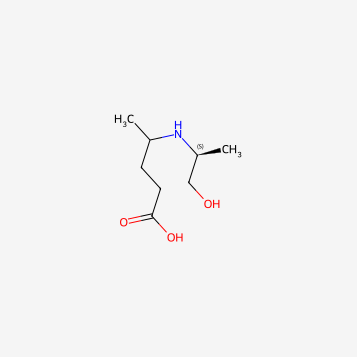 CC(CCC(=O)O)N[C@@H](C)CO